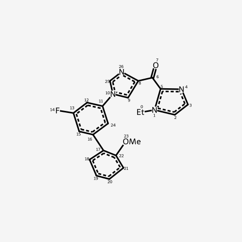 CCn1ccnc1C(=O)c1cn(-c2cc(F)cc(-c3ccccc3OC)c2)cn1